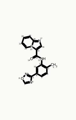 Cc1ccc(-c2ncon2)cc1NC(=O)c1cnc2ccccn12